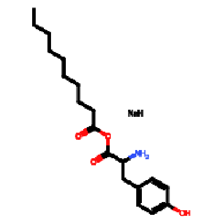 CCCCCCCCCC(=O)OC(=O)C(N)Cc1ccc(O)cc1.[NaH]